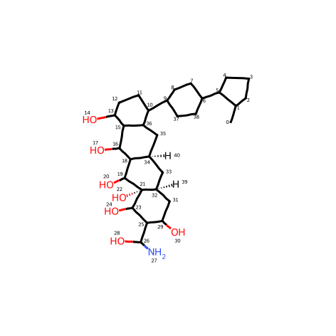 CC1CCCC1C1CCC(C2CCC(O)C3C(O)C4C(O)[C@]5(O)C(O)C(C(N)O)C(O)C[C@@H]5C[C@@H]4CC23)CC1